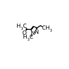 CCc1cc(C(C)=O)n(C)n1